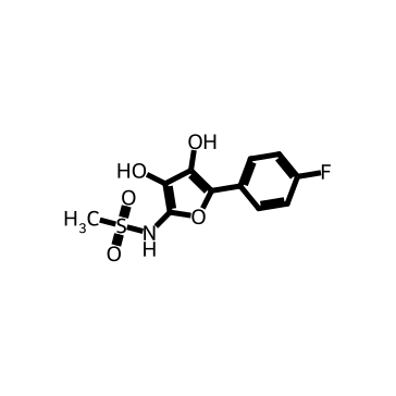 CS(=O)(=O)Nc1oc(-c2ccc(F)cc2)c(O)c1O